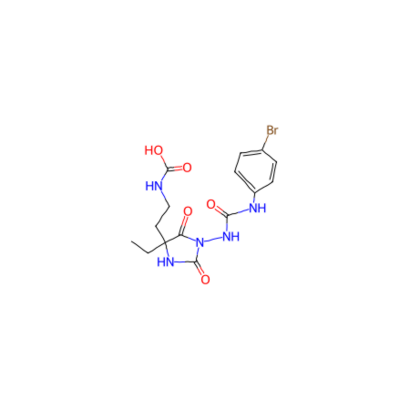 CCC1(CCNC(=O)O)NC(=O)N(NC(=O)Nc2ccc(Br)cc2)C1=O